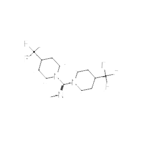 CN=C(N1CCC(C(F)(F)F)CC1)N1CCC(C(F)(F)F)CC1